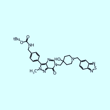 Cn1nc2c(=O)n(CC3(O)CCN(Cc4ccc5nsnc5c4)CC3)cnc2c1-c1ccc(CNC(=O)OC(C)(C)C)cc1